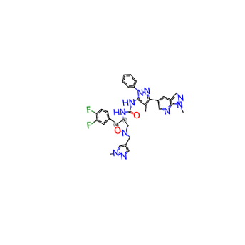 Cc1c(-c2cnc3c(cnn3C)c2)nn(-c2ccccc2)c1NC(=O)N[C@@H]1CN(Cc2cnn(C)c2)O[C@H]1c1ccc(F)c(F)c1